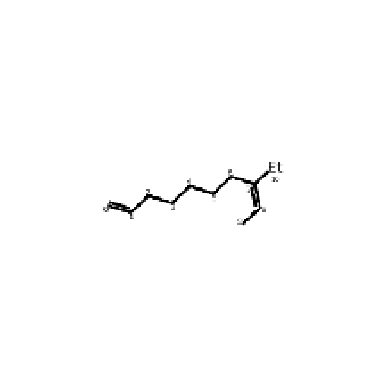 C=CCCCCCC(=CC)CC